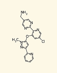 Cn1nc(-c2ccccn2)cc1Oc1cc(Cl)cnc1-c1ncc(CN)cn1